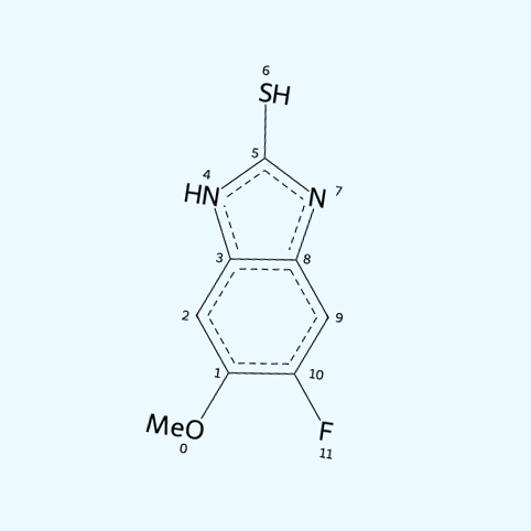 COc1cc2[nH]c(S)nc2cc1F